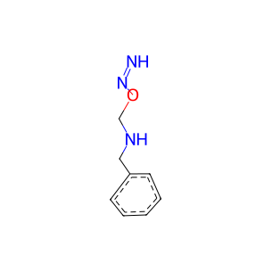 N=NOCNCc1ccccc1